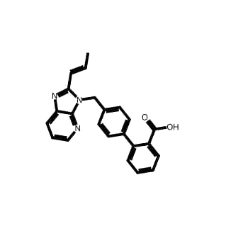 CC=Cc1nc2cccnc2n1Cc1ccc(-c2ccccc2C(=O)O)cc1